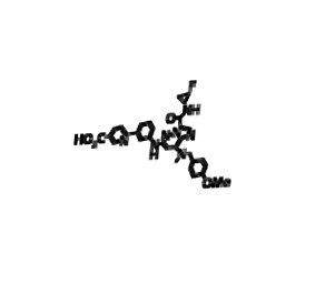 COc1ccc(CN(C)c2cc(Nc3cccc(-c4ccc(C(=O)O)cn4)c3)nn3c(C(=O)N[C@@H]4C[C@@H]4F)cnc23)cc1